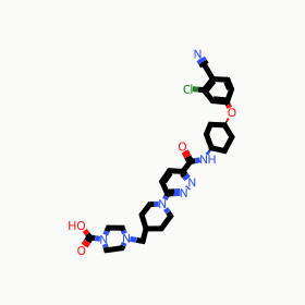 N#Cc1ccc(O[C@H]2CC[C@H](NC(=O)c3ccc(N4CCC(CN5CCN(C(=O)O)CC5)CC4)nn3)CC2)cc1Cl